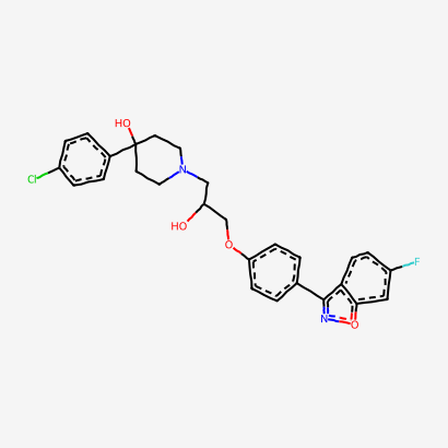 OC(COc1ccc(-c2noc3cc(F)ccc23)cc1)CN1CCC(O)(c2ccc(Cl)cc2)CC1